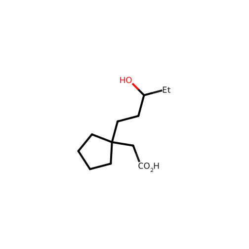 CCC(O)CCC1(CC(=O)O)CCCC1